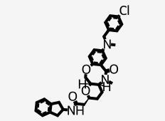 CN(Cc1ccc(Cl)cc1)c1ccc2c(c1)C(=O)N(C)[C@H]1CC[C@@H](CC(=O)NC3Cc4ccccc4C3)O[C@H]1CO2